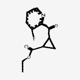 CCOC(=O)C1CC1C(=O)c1ncccc1F